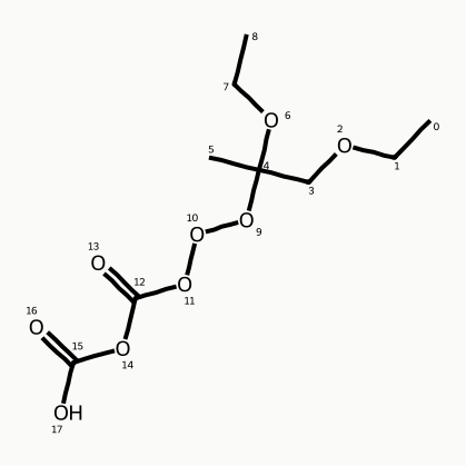 CCOCC(C)(OCC)OOOC(=O)OC(=O)O